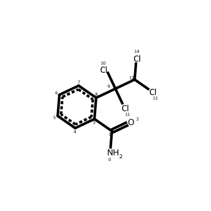 NC(=O)c1ccccc1C(Cl)(Cl)C(Cl)Cl